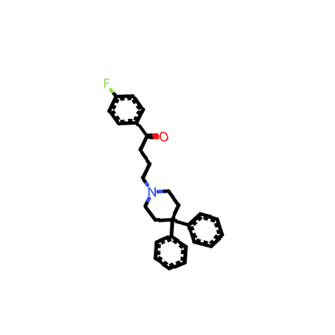 O=C(CCCN1CCC(c2ccccc2)(c2ccccc2)CC1)c1ccc(F)cc1